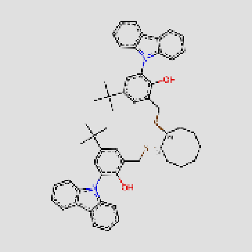 CC(C)(C)c1cc(CS[C@H]2CCCCCC[C@@H]2SCc2cc(C(C)(C)C)cc(-n3c4ccccc4c4ccccc43)c2O)c(O)c(-n2c3ccccc3c3ccccc32)c1